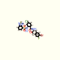 COC(=O)[C@H](Cc1ccc(F)c(Br)c1)NC(=O)c1ccc(Cl)cc1NS(=O)(=O)c1cccc2nsnc12